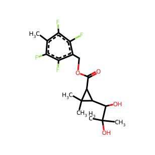 Cc1c(F)c(F)c(COC(=O)C2C(C(O)C(C)(C)O)C2(C)C)c(F)c1F